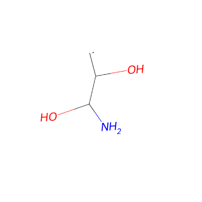 [CH2]C(O)C(N)O